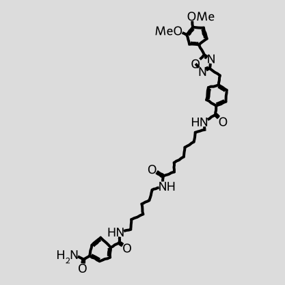 COc1ccc(-c2nc(Cc3ccc(C(=O)NCCCCCCCC(=O)NCCCCCCNC(=O)c4ccc(C(N)=O)cc4)cc3)no2)cc1OC